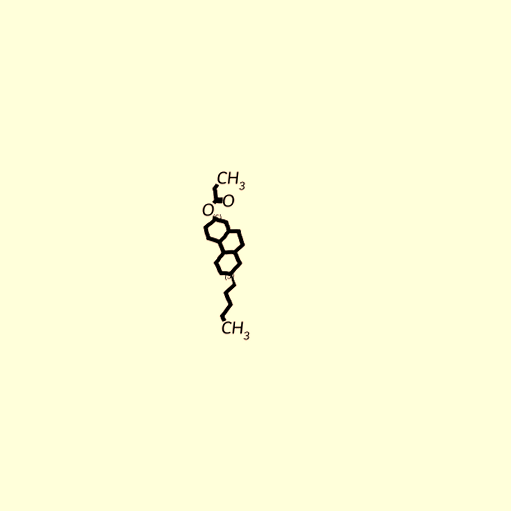 CCCCC[C@H]1CCC2C(CCC3C[C@@H](OC(=O)CC)CCC32)C1